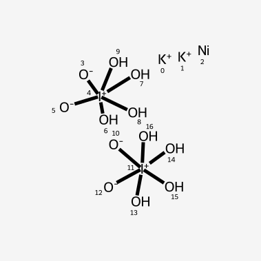 [K+].[K+].[Ni].[O-][I+]([O-])(O)(O)(O)O.[O-][I+]([O-])(O)(O)(O)O